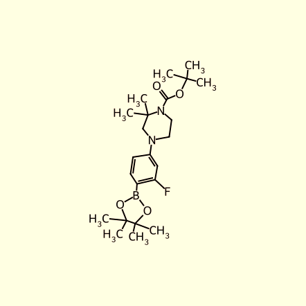 CC(C)(C)OC(=O)N1CCN(c2ccc(B3OC(C)(C)C(C)(C)O3)c(F)c2)CC1(C)C